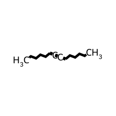 CCCCCC=C=C=CCCCCC